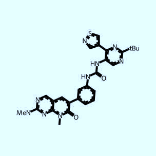 CNc1ncc2cc(-c3cccc(NC(=O)Nc4cnc(C(C)(C)C)nc4-c4cnsc4)c3)c(=O)n(C)c2n1